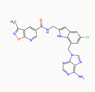 Cc1noc2ncc(C(=O)NCc3cc4cc(Cl)cc(Cn5cnc6c(N)ncnc65)c4[nH]3)cc12